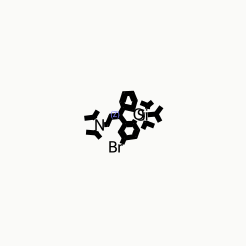 CC(C)N(C/C=C(/c1ccccc1)c1cc(Br)ccc1O[Si](C(C)C)(C(C)C)C(C)C)C(C)C